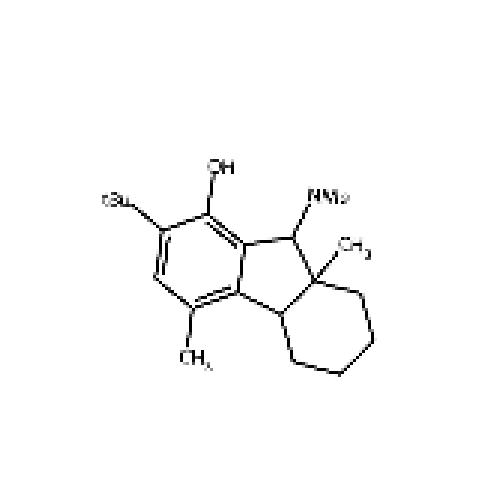 CNC1c2c(O)c(C(C)(C)C)cc(C)c2C2CCCCC21C